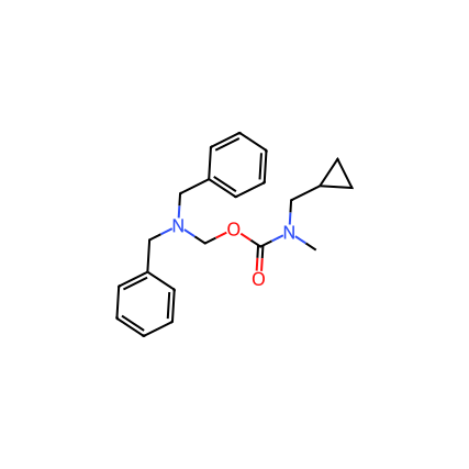 CN(CC1CC1)C(=O)OCN(Cc1ccccc1)Cc1ccccc1